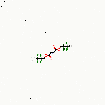 O=C(/C=C/C(=O)OCC(F)(F)C(F)(F)C(F)(F)F)OCC(F)(F)C(F)(F)C(F)(F)F